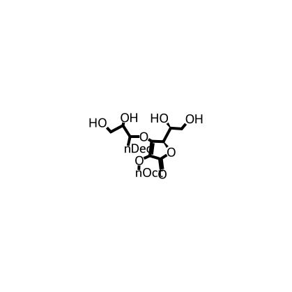 CCCCCCCCCCC(OC1=C(OCCCCCCCC)C(=O)O[C@@H]1[C@@H](O)CO)C(O)CO